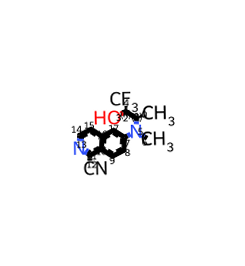 C[C@H]([C@@H](O)C(F)(F)F)N(C)c1ccc2c(C#N)nccc2c1